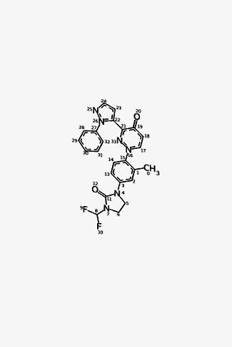 Cc1cc(N2CCN(C(F)F)C2=O)ccc1-n1ccc(=O)c(-c2ccnn2-c2ccccc2)n1